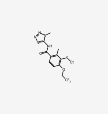 CCSc1c(OCC(F)(F)F)ccc(C(=O)Nc2nnnn2C)c1C